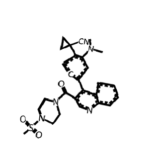 CN(C)c1cc(-c2c(C(=O)N3CCN(S(C)(=O)=O)CC3)cnc3ccccc23)ccc1C1(C#N)CC1